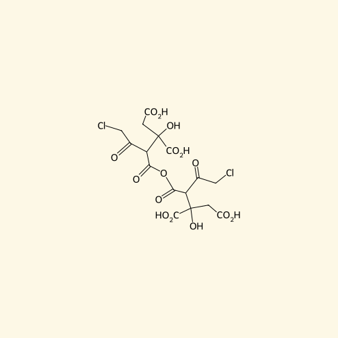 O=C(O)CC(O)(C(=O)O)C(C(=O)CCl)C(=O)OC(=O)C(C(=O)CCl)C(O)(CC(=O)O)C(=O)O